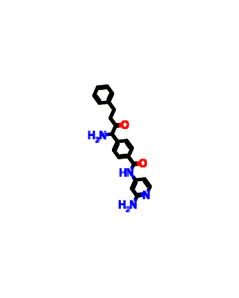 Nc1cc(NC(=O)c2ccc(C(N)C(=O)CCc3ccccc3)cc2)ccn1